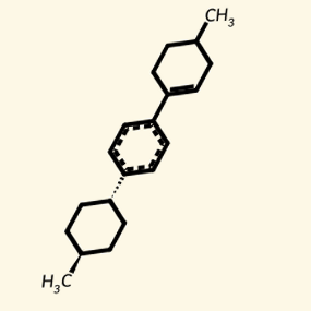 CC1CC=C(c2ccc([C@H]3CC[C@H](C)CC3)cc2)CC1